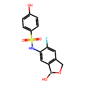 O=S(=O)(Nc1cc2c(cc1F)COB2O)c1ccc(O)cc1